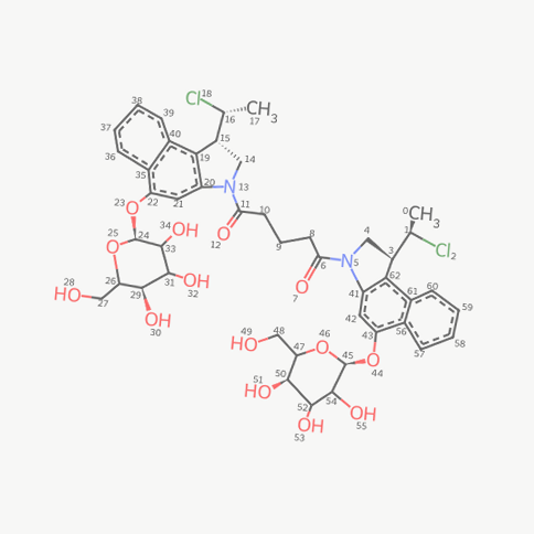 C[C@@H](Cl)[C@@H]1CN(C(=O)CCCC(=O)N2C[C@@H]([C@@H](C)Cl)c3c2cc(O[C@@H]2OC(CO)[C@H](O)C(O)C2O)c2ccccc32)c2cc(O[C@@H]3OC(CO)[C@H](O)C(O)C3O)c3ccccc3c21